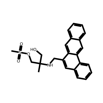 CC(CO)(COS(C)(=O)=O)NCc1cc2ccccc2c2cc3ccccc3cc12